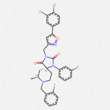 C[C@H]1C[C@]2(CCN1Cc1ccccc1F)C(=O)N(Cc1cc(-c3ccc(Cl)c(Cl)c3)on1)C(=O)N2c1cccc(F)c1